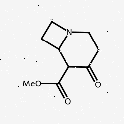 COC(=O)C1C(=O)CCN2[C]CC12